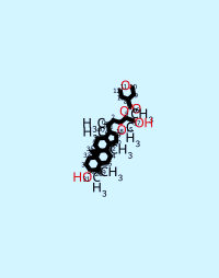 C[C@@H]1CC(C(OC(=O)C2CCOCC2)C(C)(C)O)OC2C[C@@]3(C)C4CCC5C(C)(C)C(O)CCC56CC46CCC3(C)C21